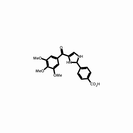 COc1cc(C(=O)C2=CNC(c3ccc(C(=O)O)cc3)N2)cc(OC)c1OC